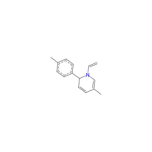 C=CN1C=C(C)C=CC1c1ccc(C)cc1